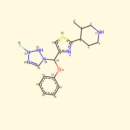 CC1CNCCC1c1nc(C(Oc2ccccc2)N2C=NN(F)N2)cs1